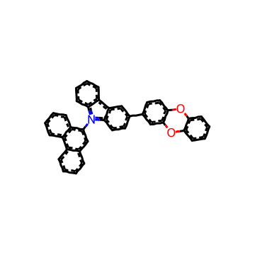 c1ccc2c(c1)Oc1ccc(-c3ccc4c(c3)c3ccccc3n4-c3cc4ccccc4c4ccccc34)cc1O2